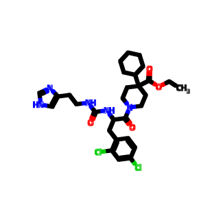 CCOC(=O)C1(C2CCCCC2)CCN(C(=O)C(Cc2ccc(Cl)cc2Cl)NC(=O)NCCc2c[nH]cn2)CC1